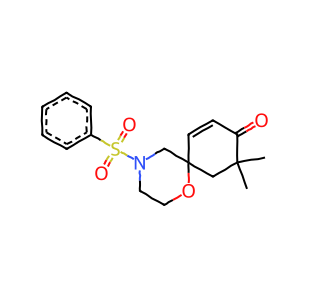 CC1(C)CC2(C=CC1=O)CN(S(=O)(=O)c1ccccc1)CCO2